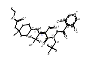 CCOC(=O)C[C@]1(C)CC[C@@H](N/C(=C(\C=N)C(=O)N(CC(=O)c2c(Cl)cncc2Cl)CC(C)(C)C)C(F)(F)F)CC1